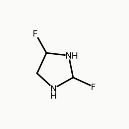 FC1CNC(F)N1